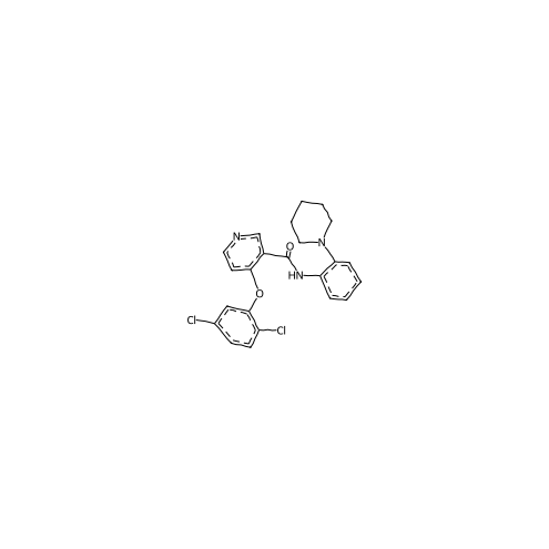 O=C(Nc1ccccc1N1CCCCC1)c1cnccc1Oc1cc(Cl)ccc1Cl